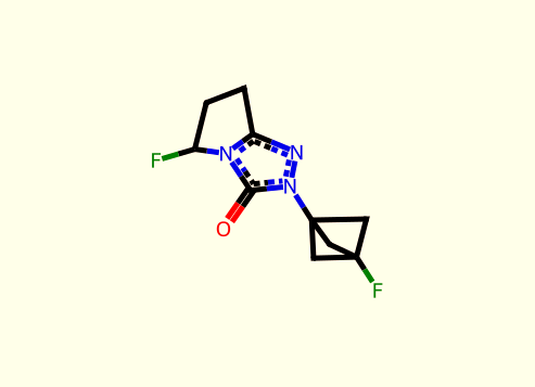 O=c1n(C23CC(F)(C2)C3)nc2n1C(F)CC2